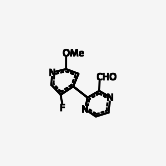 COc1cc(-c2nccnc2C=O)c(F)cn1